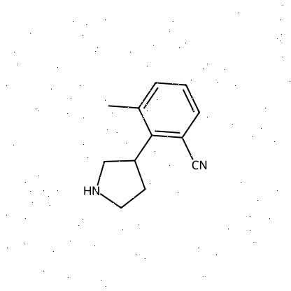 Cc1cccc(C#N)c1C1CCNC1